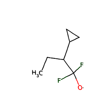 CCC(C1CC1)C([O])(F)F